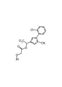 CC(C)OCC(=O)OC(n1cc(C#N)c(-c2ccccc2Cl)c1)C(Cl)(Cl)Cl